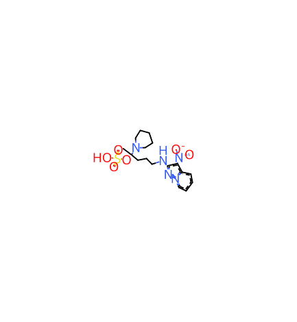 CC(CCCNc1nn2ccccc2c1[N+](=O)[O-])(OS(=O)(=O)O)N1CCCCC1